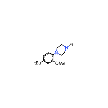 CCN1CCN(c2ccc(C(C)(C)C)cc2OC)CC1